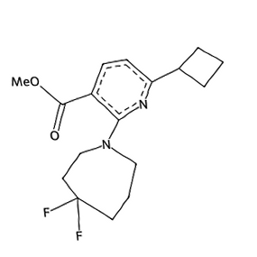 COC(=O)c1ccc(C2CCC2)nc1N1CCCC(F)(F)CC1